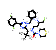 CC(C)(C)[C@H](c1nc(-c2cc(F)ccc2F)nn1Cc1ccccc1)N(CC[C@@H](N)CF)C(=O)N1CCSCC1